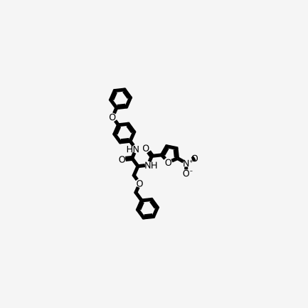 O=C(NC(COCc1ccccc1)C(=O)Nc1ccc(Oc2ccccc2)cc1)c1ccc([N+](=O)[O-])o1